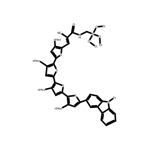 CCCCCCc1cc(-c2sc(-c3sc(-c4sc(-c5ccc6c(c5)c5ccccc5n6CC)cc4CCCCCC)cc3CCCCCC)cc2CCCCCC)sc1/C=C(\C#N)C(=O)NC[Si](OCC)(OCC)OCC